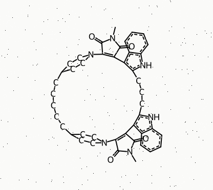 CN1C(=O)C2=C(C1=O)N1CCC(CCCCCC3CCN(CC3)C3=C(C(=O)N(C)C3=O)c3c([nH]c4ccccc34)CCCc3[nH]c4ccccc4c32)CC1